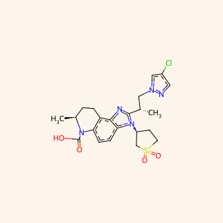 C[C@@H](Cn1cc(Cl)cn1)c1nc2c3c(ccc2n1[C@H]1CCS(=O)(=O)C1)N(C(=O)O)[C@@H](C)CC3